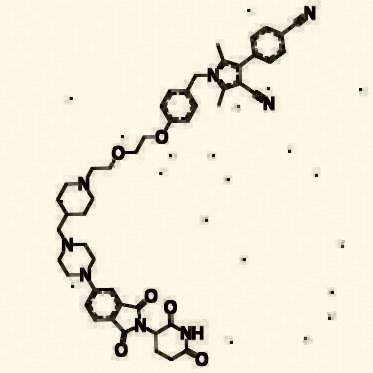 Cc1c(C#N)c(-c2ccc(C#N)cc2)c(C)n1Cc1ccc(OCCOCCN2CCC(CN3CCN(c4ccc5c(c4)C(=O)N(C4CCC(=O)NC4=O)C5=O)CC3)CC2)cc1